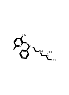 Cc1ccc(C#N)c(O[C@H](CCNC[C@H](O)CO)c2ccccc2)n1